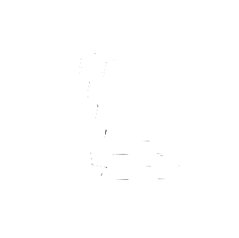 C[C@]12CCC3c4cccc(F)c4CCC3C1[C@H](CCC(=O)Nc1cc(F)ccn1)/C(=C/O)C2=O